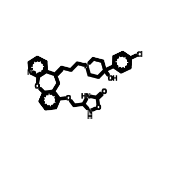 O=C1NC(COc2cccc3c2CC(=CCCN2CCC(O)(c4ccc(Cl)cc4)CC2)c2cccnc2O3)NO1